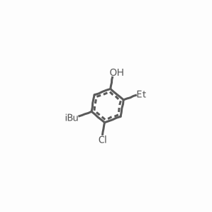 CCc1cc(Cl)c(C(C)CC)cc1O